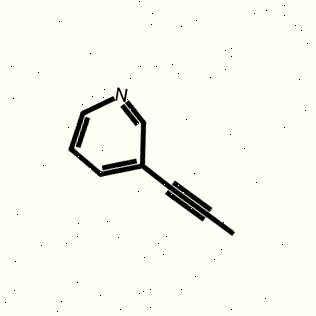 CC#Cc1cccnc1